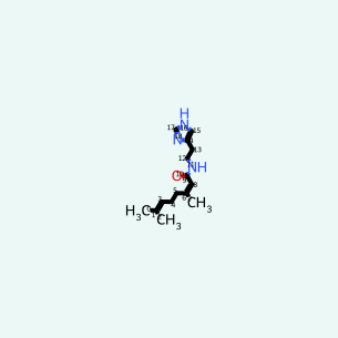 CC(C)=CCCC(C)=CC(=O)NCCc1c[nH]cn1